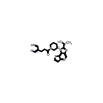 [H]/C=C(\C=N)CCC(=O)N1CCC[C@H](n2c([C@@H](C)O)nc3cnc4ccsc4c32)C1